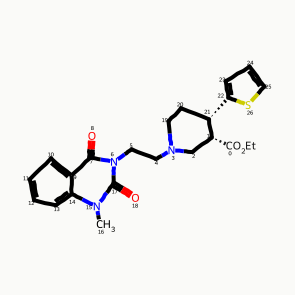 CCOC(=O)[C@@H]1CN(CCn2c(=O)c3ccccc3n(C)c2=O)CC[C@@H]1c1cccs1